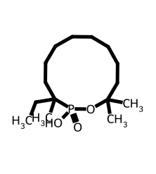 CCC1(C)CCCCCCCCC(C)(C)OP1(=O)O